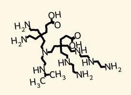 CC(C)NCCN(CCC(CCN)(CCN)CCC(=O)O)CCC(CCNCCN)(CCNCCNCCN)CCC(=O)O